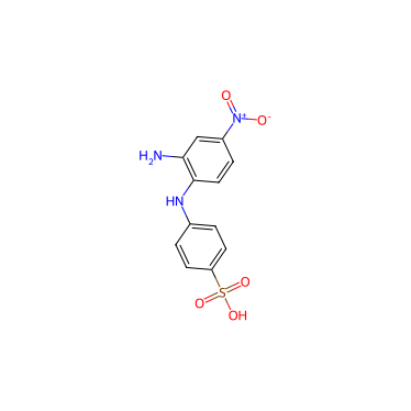 Nc1cc([N+](=O)[O-])ccc1Nc1ccc(S(=O)(=O)O)cc1